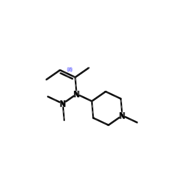 C/C=C(/C)N(C1CCN(C)CC1)N(C)C